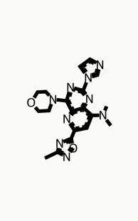 Cc1noc(-c2cc(N(C)C)c3nc(-n4ccnc4)nc(N4CCOCC4)c3n2)n1